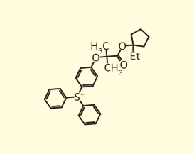 CCC1(OC(=O)C(C)(C)Oc2ccc([S+](c3ccccc3)c3ccccc3)cc2)CCCC1